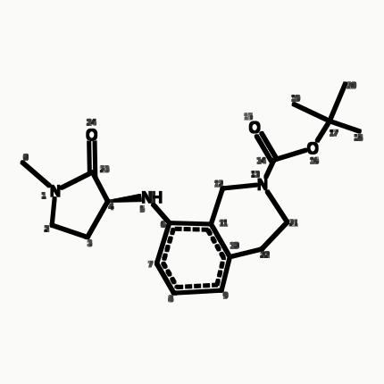 CN1CC[C@H](Nc2cccc3c2CN(C(=O)OC(C)(C)C)CC3)C1=O